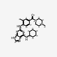 Cc1cc(C(=O)N2CCN(C)CC2)ccc1Nc1nc(NC2CCCCC2)c2nc[nH]c2n1